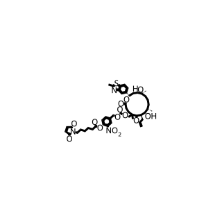 C=CC[C@H]1C(=O)C(C)(C)[C@@H](OC(=O)OCc2ccc(OC(=O)CCCCCN3C(=O)C=CC3=O)c([N+](=O)[O-])c2)CC(=O)O[C@H](c2ccc3sc(C)nc3c2)C[C@H]2O[C@@]2(C)CCC[C@H](C)[C@@H]1O